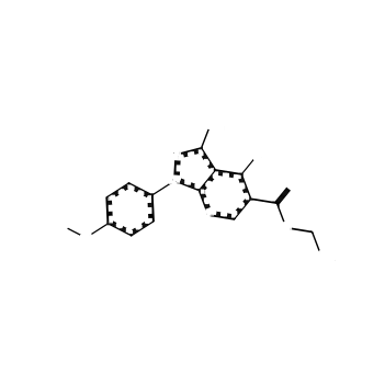 CCOC(=O)c1cnc2c(c(C)nn2-c2ccc(OC)cc2)c1Cl